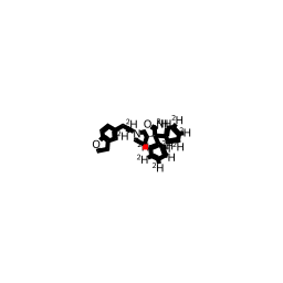 [2H]c1c([2H])c([2H])c(C(C(N)=O)(c2c([2H])c([2H])c([2H])c([2H])c2[2H])[C@@H]2CCN(C([2H])([2H])Cc3ccc4c(c3)CCO4)C2)c([2H])c1[2H]